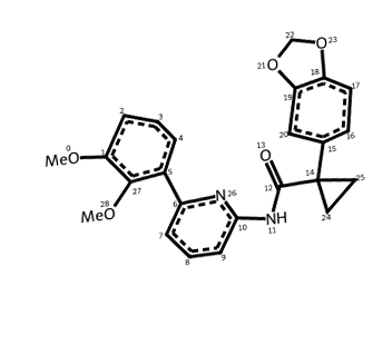 COc1cccc(-c2cccc(NC(=O)C3(c4ccc5c(c4)OCO5)CC3)n2)c1OC